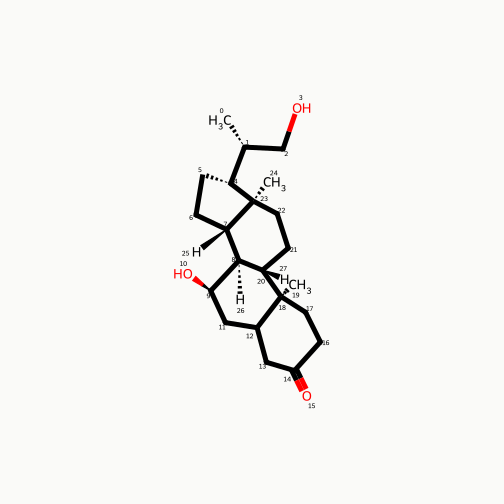 C[C@H](CO)[C@H]1CC[C@H]2[C@@H]3[C@H](O)CC4CC(=O)CC[C@]4(C)[C@H]3CC[C@]12C